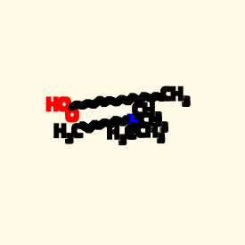 CCCCCCCCCCCCCCCCCC(=O)O.CCCCCCCCCCN(C(C)C)C(C)C